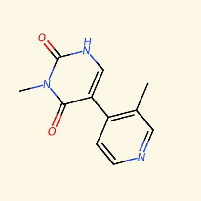 Cc1cnccc1-c1c[nH]c(=O)n(C)c1=O